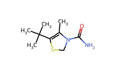 CC1=C(C(C)(C)C)S[CH]N1C(N)=O